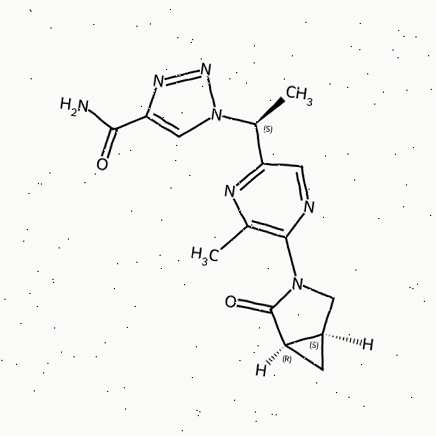 Cc1nc([C@H](C)n2cc(C(N)=O)nn2)cnc1N1C[C@H]2C[C@H]2C1=O